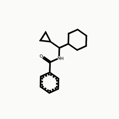 O=C(NC(C1CCCCC1)C1CC1)c1ccccc1